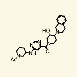 CC(=O)N1CCCC(Nc2cc(C(=O)N3CC[C@H](N4CCc5ccccc5C4)[C@@H](O)C3)ncn2)C1